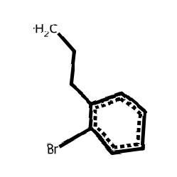 [CH2]CCc1ccccc1Br